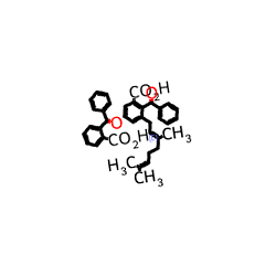 CC(C)=CCC/C(C)=C/Cc1cccc(C(=O)O)c1C(=O)c1ccccc1.O=C(O)c1ccccc1C(=O)c1ccccc1